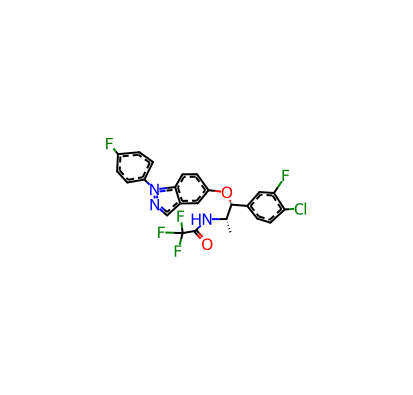 C[C@H](NC(=O)C(F)(F)F)[C@H](Oc1ccc2c(cnn2-c2ccc(F)cc2)c1)c1ccc(Cl)c(F)c1